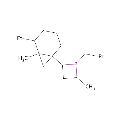 CCC1CCCC2(C3CC(C)P3CC(C)C)CC12C